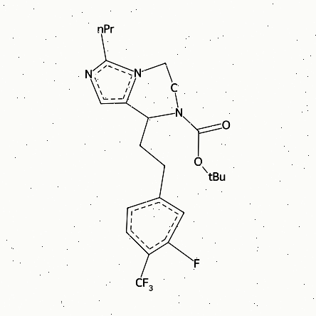 CCCc1ncc2n1CCN(C(=O)OC(C)(C)C)C2CCc1ccc(C(F)(F)F)c(F)c1